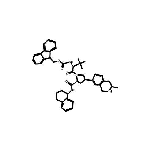 CC1Cc2ccc(C3C[C@@H](C(=O)N[C@@H]4CCCc5ccccc54)N(C(=O)[C@@H](NC(=O)OCC4c5ccccc5-c5ccccc54)C(C)(C)C)C3)cc2CN1